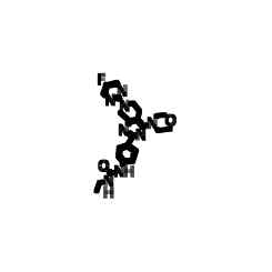 CCNC(=O)Nc1ccc(-c2nc3c(c(N4CCOCC4)n2)CCN(c2ncc(F)cn2)C3)cc1